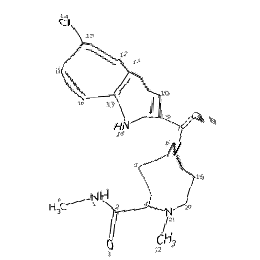 CNC(=O)C1CN(C(=O)c2cc3cc(Cl)ccc3[nH]2)CCN1C